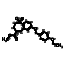 CCOc1ccc(COc2ccc3c(c2)C=C(C(=O)OC)CCS3(=O)=O)cc1